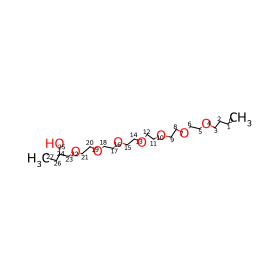 CCCCOCCOCCOCCOCCOCCOCCOCC(O)CC